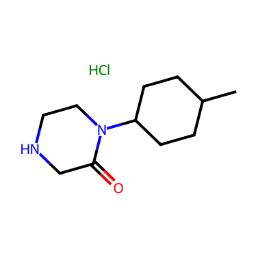 CC1CCC(N2CCNCC2=O)CC1.Cl